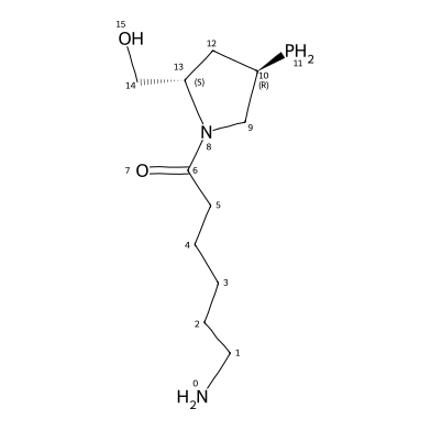 NCCCCCC(=O)N1C[C@H](P)C[C@H]1CO